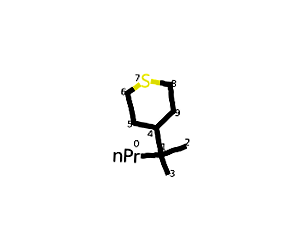 CCCC(C)(C)C1CCSCC1